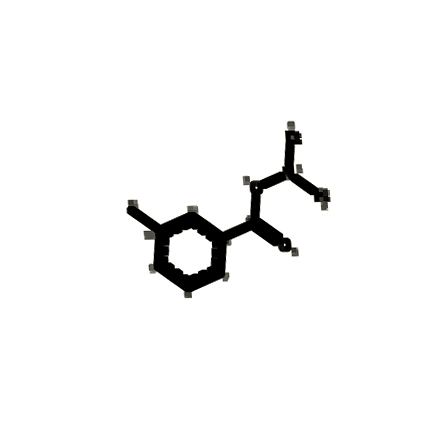 CCN(CC)OC(=O)c1cccc(C)c1